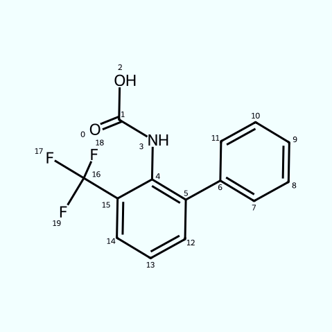 O=C(O)Nc1c(-c2ccccc2)cccc1C(F)(F)F